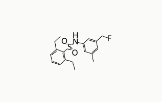 CCc1cccc(CC)c1S(=O)(=O)Nc1cc(C)cc(CF)c1